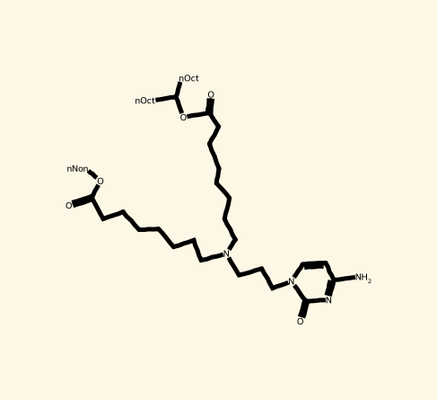 CCCCCCCCCOC(=O)CCCCCCCN(CCCCCCCC(=O)OC(CCCCCCCC)CCCCCCCC)CCCn1ccc(N)nc1=O